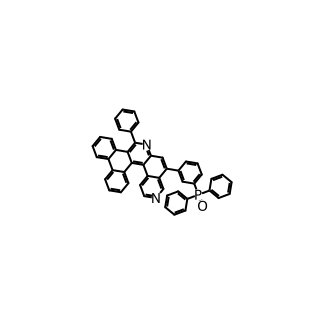 O=P(c1ccccc1)(c1ccccc1)c1cccc(-c2cc3nc(-c4ccccc4)c4c5ccccc5c5ccccc5c4c3c3ccncc23)c1